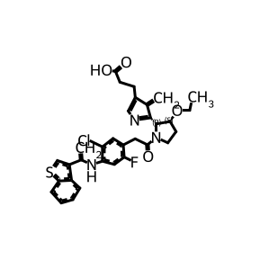 C=C1C(CCC(=O)O)=CN=C1[C@@H]1[C@@H](OCC)CCN1C(=O)Cc1cc(Cl)c(NC(=C)c2csc3ccccc23)cc1F